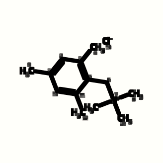 Cc1cc(C)c(C[N+](C)(C)C)c(C)c1.[Cl-]